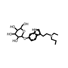 CCCN(CC)CCc1c[nH]c2cc(OC3OC(CO)C(O)C(O)C3O)ccc12